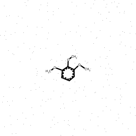 [CH2]Oc1c(OC)cccc1OC